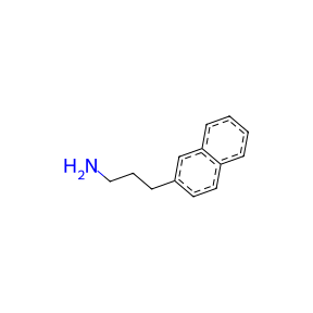 NCCCc1ccc2ccccc2c1